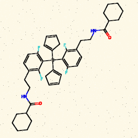 O=C(NCCc1ccc(F)[c]([Ti]([C]2=CC=CC2)([C]2=CC=CC2)[c]2c(F)ccc(CCNC(=O)C3CCCCC3)c2F)c1F)C1CCCCC1